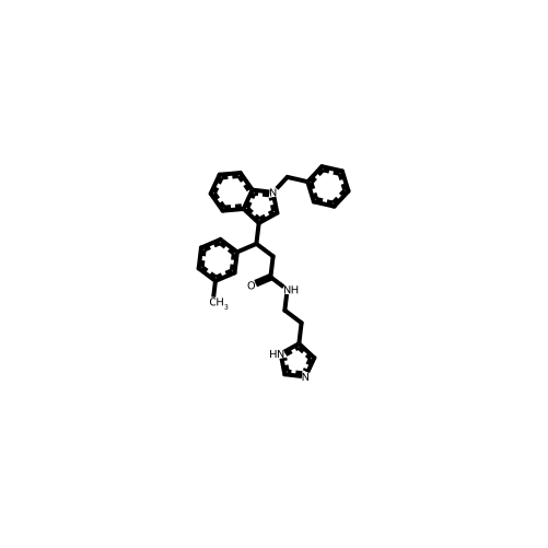 Cc1cccc(C(CC(=O)NCCc2cnc[nH]2)c2cn(Cc3ccccc3)c3ccccc23)c1